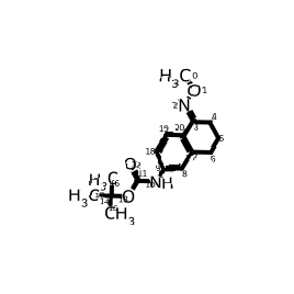 CON=C1CCCc2cc(NC(=O)OC(C)(C)C)ccc21